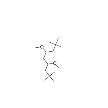 COC(CC(CC(C)(C)C)OC)CC(C)(C)C